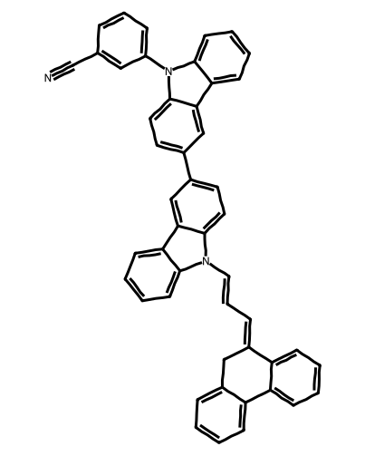 N#Cc1cccc(-n2c3ccccc3c3cc(-c4ccc5c(c4)c4ccccc4n5/C=C/C=C4\Cc5ccccc5-c5ccccc54)ccc32)c1